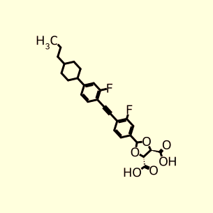 CCCC1CCC(c2ccc(C#Cc3ccc(C4O[C@@H](C(=O)O)[C@H](C(=O)O)O4)cc3F)c(F)c2)CC1